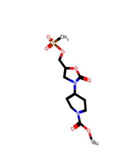 CC(C)(C)OC(=O)N1CCC(N2CC(COS(C)(=O)=O)OC2=O)CC1